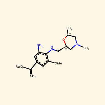 C=C(OC)c1cc(N)c(NC[C@@H]2CN(C)C[C@H](C)O2)c(OC)c1